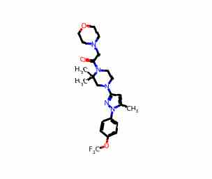 Cc1cc(N2CCN(C(=O)CN3CCOCC3)C(C)(C)C2)nn1-c1ccc(OC(F)(F)F)cc1